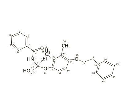 CCC(NC(=O)c1ccccc1)(Oc1ccc(OCCc2ccccc2)c(C)c1C)C(=O)O